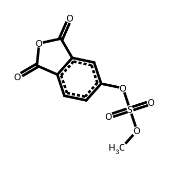 COS(=O)(=O)Oc1ccc2c(c1)C(=O)OC2=O